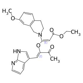 CCOC(=O)/C=C(/O/C(=C\c1c[nH]c2ncccc12)C(C)=O)N1CCc2ccc(OC)cc2C1